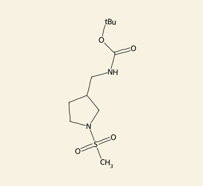 CC(C)(C)OC(=O)NCC1CCN(S(C)(=O)=O)C1